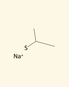 CC(C)[S-].[Na+]